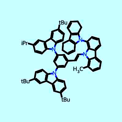 Cc1cccc2c3cccc(-n4c5c(c6c4CCC=C6)CCC=C5)c3n(C=Cc3cc(-n4c5ccc(C(C)C)cc5c5cc(C(C)(C)C)ccc54)cc(-n4c5ccc(C(C)(C)C)cc5c5cc(C(C)(C)C)ccc54)c3)c12